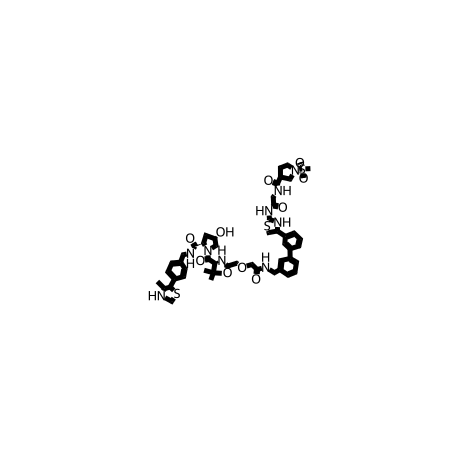 CC1NCSC1c1ccc(CNC(=O)[C@@H]2C[C@@H](O)CN2C(=O)[C@@H](NC(=O)COCC(=O)NCc2cccc(-c3cccc(C4CSC(NC(=O)CNC(=O)C5CCN(S(C)(=O)=O)C5)N4)c3)c2)C(C)(C)C)cc1